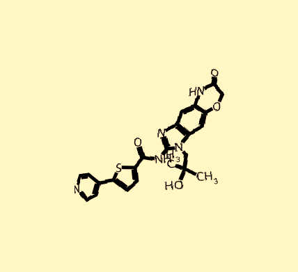 CC(C)(O)Cn1c(NC(=O)c2ccc(-c3ccncc3)s2)nc2cc3c(cc21)OCC(=O)N3